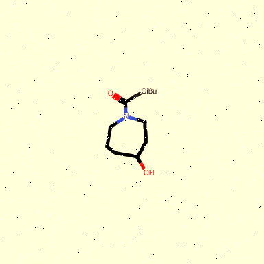 CC(C)COC(=O)N1CCCC(O)CC1